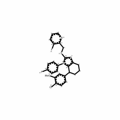 COc1cc(C2CCCc3nc(SCc4ncccc4F)n(-c4ccc(F)cc4)c32)ccc1Cl